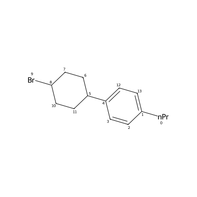 CCCc1ccc(C2CCC(Br)CC2)cc1